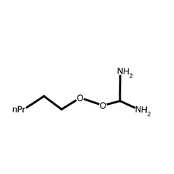 CCCCCOOC(N)N